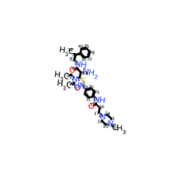 CCN(C(C)=O)C(SNc1ccc(NC(=O)CCN2CCN(C)CC2)cc1)[C@H](N)C(=O)NCC(C)c1ccccc1